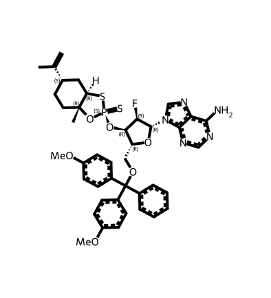 C=C(C)[C@H]1CC[C@@]2(C)O[P@](=S)(O[C@H]3[C@@H](F)[C@H](n4cnc5c(N)ncnc54)O[C@@H]3COC(c3ccccc3)(c3ccc(OC)cc3)c3ccc(OC)cc3)S[C@@H]2C1